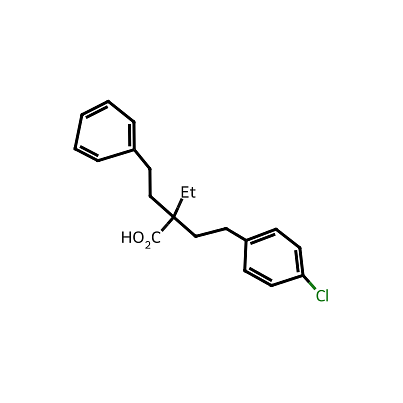 CCC(CCc1ccccc1)(CCc1ccc(Cl)cc1)C(=O)O